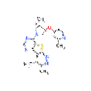 Cc1cc(O[C@H]2CN(c3ncnc4c3sc3nnc(C)c(C)c34)C[C@@H]2C)ccn1